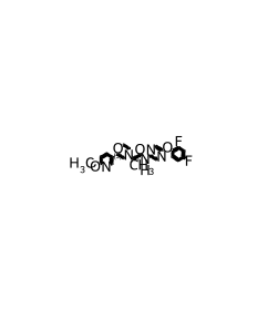 COc1ccc([C@H]2CN([C@@H](C)C(=O)Nc3cnc(Oc4ccc(F)cc4F)cn3)CCO2)cn1